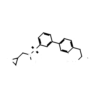 CC[C@@H](Cc1ccc(-c2cccc(S(=O)(=O)N(C)CC3CO3)c2)cc1)C(=O)O